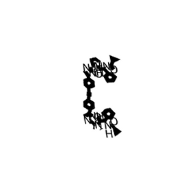 C[C@@H](c1ncc(-c2ccc(C#Cc3ccc(-c4cnc([C@@H]5CCCN5C(=O)[C@H](NC(=O)C5CC5)c5ccccc5)[nH]4)cc3)cc2)[nH]1)N(C)C(=O)[C@H](NC(=O)C1CC1)c1ccccc1